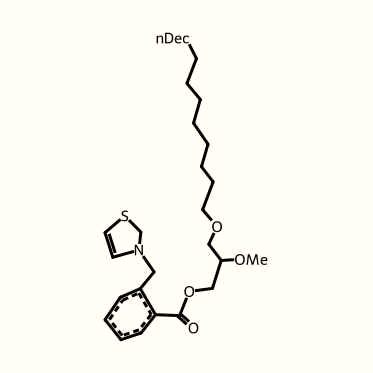 CCCCCCCCCCCCCCCCCCOCC(COC(=O)c1ccccc1CN1C=CSC1)OC